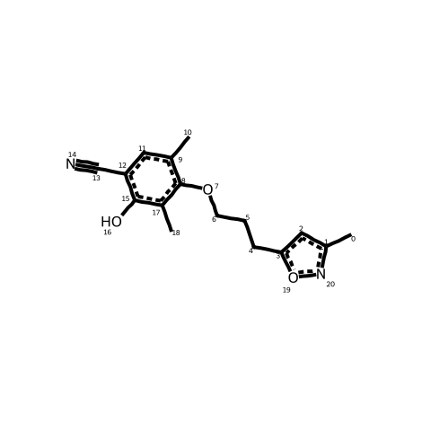 Cc1cc(CCCOc2c(C)cc(C#N)c(O)c2C)on1